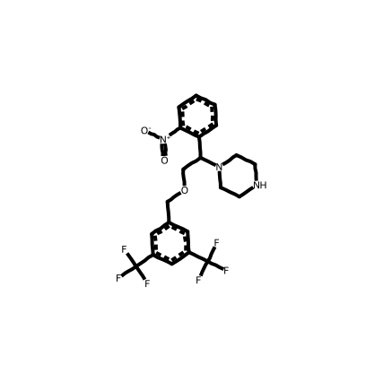 O=[N+]([O-])c1ccccc1C(COCc1cc(C(F)(F)F)cc(C(F)(F)F)c1)N1CCNCC1